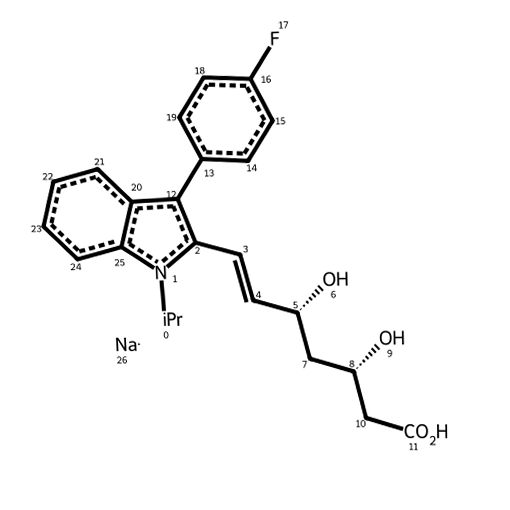 CC(C)n1c(C=C[C@H](O)C[C@H](O)CC(=O)O)c(-c2ccc(F)cc2)c2ccccc21.[Na]